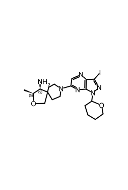 C[C@@H]1OCC2(CCN(c3cnc4c(I)nn(C5CCCCO5)c4n3)CC2)[C@@H]1N